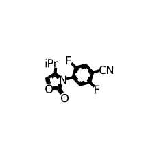 CC(C)c1coc(=O)n1-c1cc(F)c(C#N)cc1F